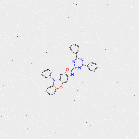 c1ccc(-c2nc(-c3ccccc3)nc(-c3nc4cc5c(cc4o3)N(c3ccccc3)c3ccccc3O5)n2)cc1